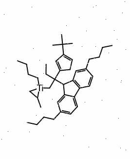 CCCCc1ccc2c(c1)C(C(CC)([CH2][Ti]1([CH2]CCC)[CH2][CH]1C)C1=CC(C(C)(C)C)=CC1)c1cc(CCCC)ccc1-2